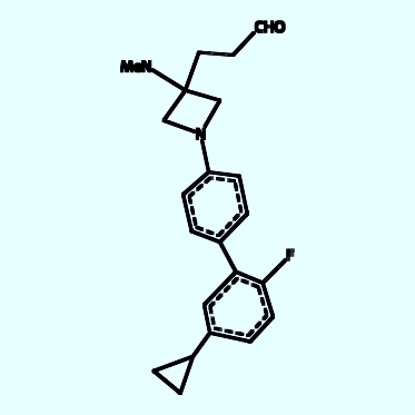 CNC1(CCC=O)CN(c2ccc(-c3cc(C4CC4)ccc3F)cc2)C1